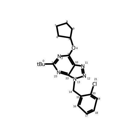 CC(C)(C)c1nc(OC2CCCC2)c2nnn(Cc3ccccc3Cl)c2n1